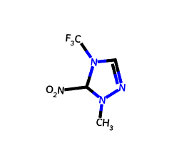 CN1N=CN(C(F)(F)F)C1[N+](=O)[O-]